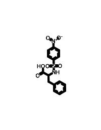 O=C(O)C(Cc1ccccc1)NS(=O)(=O)c1ccc([N+](=O)[O-])cc1